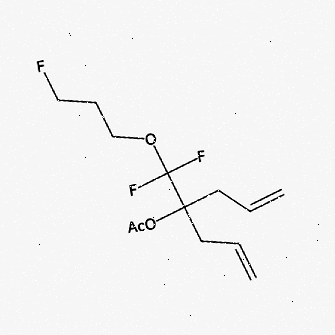 C=CCC(CC=C)(OC(C)=O)C(F)(F)OCCCF